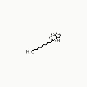 CCCCCCCCCC(=O)N[C@@H]1CCOC1=O